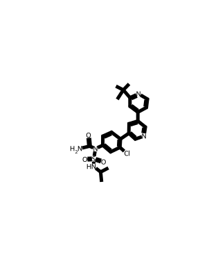 CC(C)NS(=O)(=O)N(C(N)=O)c1ccc(-c2cncc(-c3ccnc(C(C)(C)C)c3)c2)c(Cl)c1